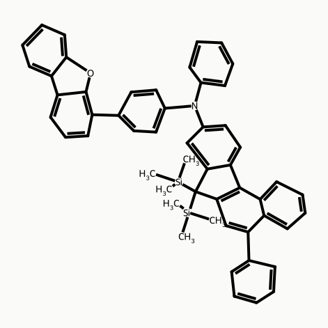 C[Si](C)(C)C1([Si](C)(C)C)c2cc(N(c3ccccc3)c3ccc(-c4cccc5c4oc4ccccc45)cc3)ccc2-c2c1cc(-c1ccccc1)c1ccccc21